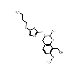 COc1ccc2c(c1CO)OB(O)[C@@H](Sc1nnc(SCCCN)s1)C2